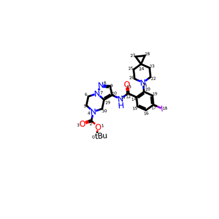 CC(C)(C)OC(=O)N1CCn2ncc(NC(=O)c3ccc(I)cc3N3CCC4(CC3)CC4)c2C1